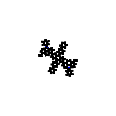 N#Cc1ccc2c3c1ccc1c(-c4ccc5c(-c6ccc(-c7ccccc7)cc6)c6cc(-c7ccc8c9c7ccc7c(C#N)ccc(c79)n8-c7ccccc7)ccc6c(-c6ccc(-c7ccccc7)cc6)c5c4)ccc(c13)n2-c1ccccc1